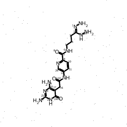 N/N=C(/CCCNC(=O)c1ccc(NC(=O)Cc2c(N)nc(N)[nH]c2=O)cn1)NN